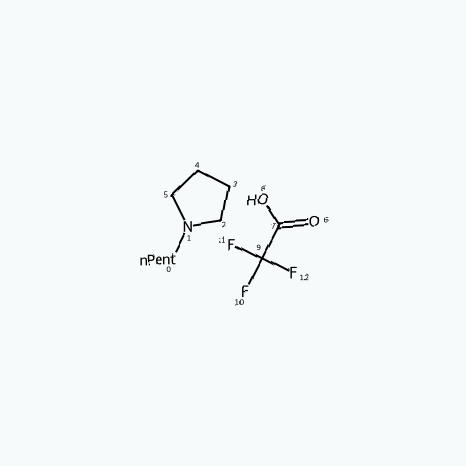 CCCCCN1CCCC1.O=C(O)C(F)(F)F